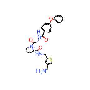 NCc1csc(CNC(=O)C2CCCN2C(=O)CNC(=O)c2ccc(Oc3ccccc3)cc2)c1